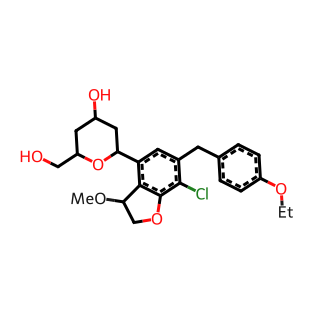 CCOc1ccc(Cc2cc(C3CC(O)CC(CO)O3)c3c(c2Cl)OCC3OC)cc1